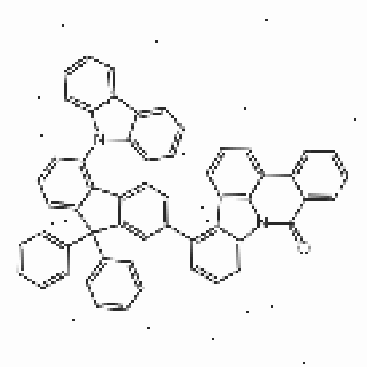 O=c1c2ccccc2c2cccc3c4c(-c5ccc6c(c5)C(c5ccccc5)(c5ccccc5)c5cccc(-n7c8ccccc8c8ccccc87)c5-6)cccc4n1c23